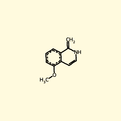 C=C1NC=Cc2c(OC)cccc21